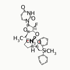 CC(C)[C@H]1O[C@@H](n2ccc(=O)[nH]c2=O)[C@@H](F)C1OP1O[C@@H](C[Si](C)(c2ccccc2)c2ccccc2)[C@H]2CCCN21